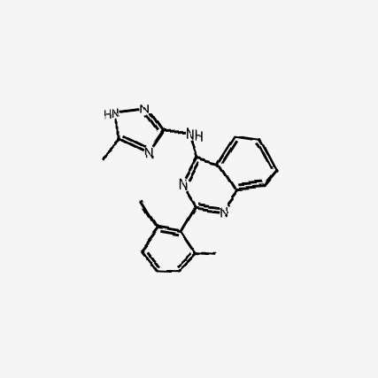 Cc1nc(Nc2nc(-c3c(C)cccc3C)nc3ccccc23)n[nH]1